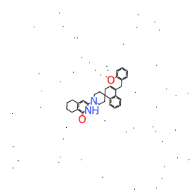 COc1ccccc1CC1=CCC2(CCN(c3cc4c(c(=O)[nH]3)CCCC4)CC2)c2ccccc21